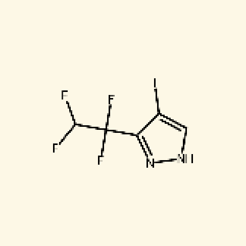 FC(F)C(F)(F)c1n[nH]cc1I